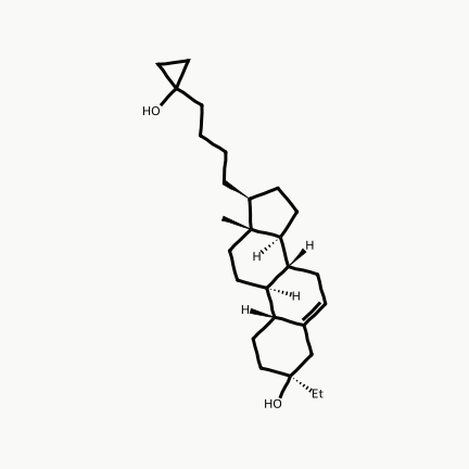 CC[C@]1(O)CC[C@H]2C(=CC[C@@H]3[C@@H]2CC[C@]2(C)[C@@H](CCCCC4(O)CC4)CC[C@@H]32)C1